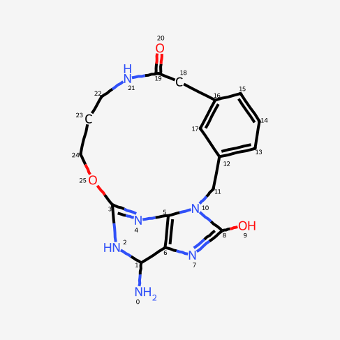 NC1NC2=Nc3c1nc(O)n3Cc1cccc(c1)CC(=O)NCCCO2